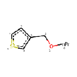 CCCOCc1ccsc1